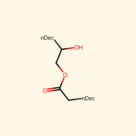 CCCCCCCCCCCC(=O)OCC(O)CCCCCCCCCC